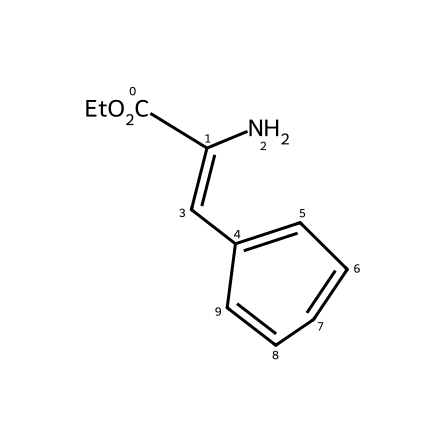 CCOC(=O)C(N)=Cc1ccccc1